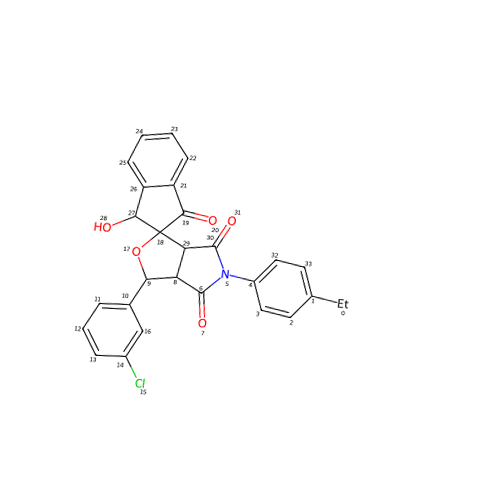 CCc1ccc(N2C(=O)C3C(c4cccc(Cl)c4)OC4(C(=O)c5ccccc5C4O)C3C2=O)cc1